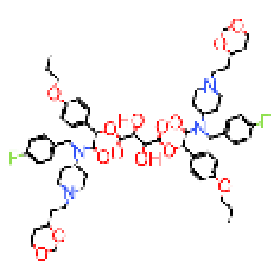 CCCOc1ccc(C(OC(=O)C(O)C(O)C(=O)OC(C(=O)N(Cc2ccc(F)cc2)C2CCN(CCC3CCOCO3)CC2)c2ccc(OCCC)cc2)C(=O)N(Cc2ccc(F)cc2)C2CCN(CCC3CCOCO3)CC2)cc1